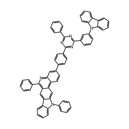 c1ccc(-c2nc(-c3ccc(-c4ccc5c(c4)nc(-c4ccccc4)c4cc6c7ccccc7n(-c7ccccc7)c6cc45)cc3)nc(-c3cccc(-n4c5ccccc5c5ccccc54)c3)n2)cc1